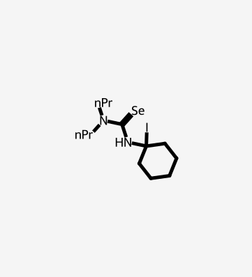 CCCN(CCC)C(=[Se])NC1(I)CCCCC1